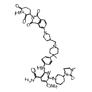 COc1cc(C(N)=O)c(Nc2ccc(C3(C)CCN(CC4CCN(c5ccc6c(c5)C(=O)N(C5CCC(=O)NC5=O)C6=O)C4)CC3)cc2)nc1N1CCCC(N2CCN(C)C2=O)C1